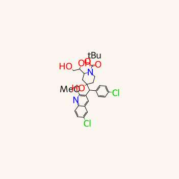 COc1nc2ccc(Cl)cc2cc1C(c1ccc(Cl)cc1)C1(O)CCN(C(=O)OC(C)(C)C)C(C(O)CO)C1